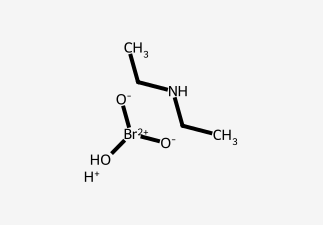 CCNCC.[H+].[O-][Br+2]([O-])O